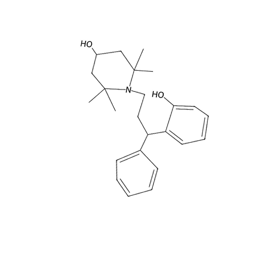 CC1(C)CC(O)CC(C)(C)N1CCC(c1ccccc1)c1ccccc1O